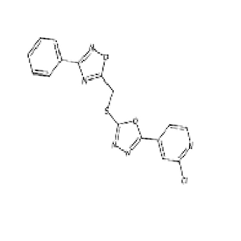 Clc1cc(-c2nnc(SCc3nc(-c4ccccc4)no3)o2)ccn1